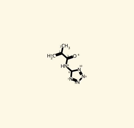 C=C(C)C(=O)NC1N=NN=N1